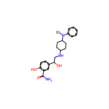 CCN(c1ccccc1)C1CCC(NCC(O)c2ccc(O)c(C(N)=O)c2)CC1